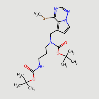 CSc1ncnn2ccc(CN(CCCNC(=O)OC(C)(C)C)C(=O)OC(C)(C)C)c12